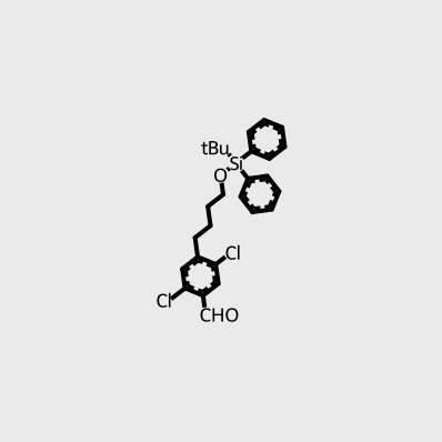 CC(C)(C)[Si](OCCCCc1cc(Cl)c(C=O)cc1Cl)(c1ccccc1)c1ccccc1